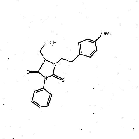 COc1ccc(CCN2C(=S)N(c3ccccc3)C(=O)C2CC(=O)O)cc1